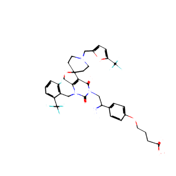 NC(Cn1c(=O)c2c(n(Cc3c(F)cccc3C(F)(F)F)c1=O)COC21CCN(Cc2ccc(C(F)(F)F)o2)CC1)c1ccc(OCCCC(=O)O)cc1